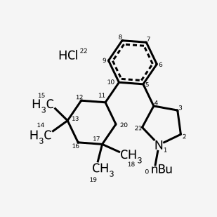 CCCCN1CCC(c2ccccc2C2CC(C)(C)CC(C)(C)C2)C1.Cl